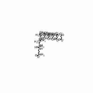 C[N+](C)(C)CCO.C[N+](C)(C)CCO.C[N+](C)(C)CCO.C[N+](C)(C)CCO.C[N+](C)(C)CCO.N=C(N)NCCC[C@H](N)C(=O)[O-].O=C([O-])CCC(=O)[O-].O=C([O-])CCC(=O)[O-]